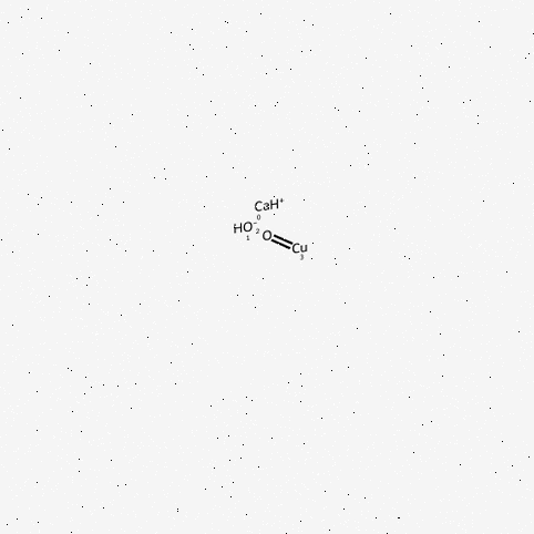 [CaH+].[OH-].[O]=[Cu]